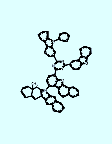 CC12C=CC=CC1=Cc1c(n(-c3ccc(-c4nc(-c5ccc6oc7ccccc7c6c5)nc(-c5ccc6c7ccccc7n(-c7ccccc7)c6c5)n4)c4oc5c6ccccc6ccc5c34)c3cc4ccccc4cc13)C2